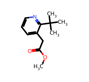 COC(=O)Cc1cccnc1C(C)(C)C